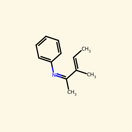 CC=C(C)/C(C)=N\c1ccccc1